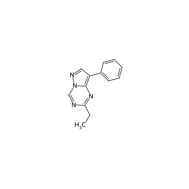 CCc1n[c]n2ncc(-c3ccccc3)c2n1